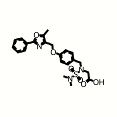 Cc1oc(-c2ccccc2)nc1COc1ccc(CN(CC(=O)O)S(=O)(=O)N(C)C)cc1